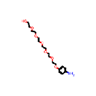 Nc1ccc(OCCOCCOCCOCCOCCOCCO)cc1